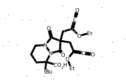 CCOC(=C=O)CC1(CC(=C=O)OCC)C(=O)N2CCCC(C(=O)O)(C(C)(C)C)N2C1=O